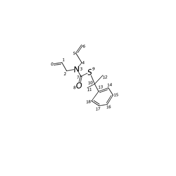 C=CCN(CC=C)C(=O)SC(C)(C)c1ccccc1